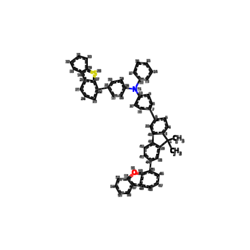 CC1(C)c2ccc(-c3ccc(N(c4ccccc4)c4ccc(-c5cccc6c5sc5ccccc56)cc4)cc3)cc2-c2ccc(-c3cccc4c3oc3ccccc34)cc21